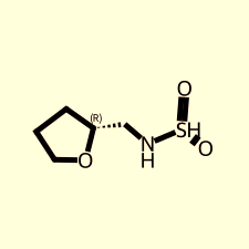 O=[SH](=O)NC[C@H]1CCCO1